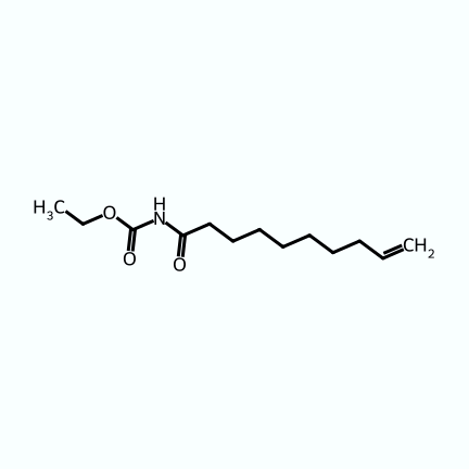 C=CCCCCCCCC(=O)NC(=O)OCC